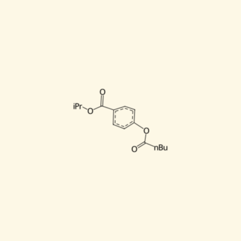 [CH2]CCCC(=O)Oc1ccc(C(=O)OC(C)C)cc1